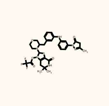 CC1=NN(c2cccc(Nc3cccc(CC4COCCN4C4SC5=C(CC(C)(C)NC5=O)N4OC(=O)C(F)(F)F)c3)c2)C(=O)C1